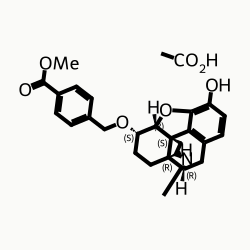 CC(=O)O.COC(=O)c1ccc(CO[C@H]2CC[C@H]3[C@H]4Cc5ccc(O)c6c5[C@@]3(CCN4C)[C@H]2O6)cc1